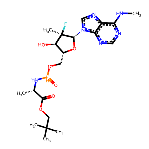 CNc1ncnc2c1ncn2[C@@H]1O[C@H](CO[PH](=O)N[C@@H](C)C(=O)OCC(C)(C)C)[C@@H](O)[C@@]1(C)F